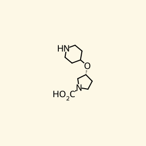 O=C(O)N1CC[C@@H](OC2CCNCC2)C1